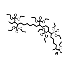 CCOP(C)(=O)C(C)CCCCC(C(CCCC(CCCCCCC(C(CC)P(=O)(OCC)OCC)P(=O)(OCC)OCC)P(=O)(OCC)OCC)P(=O)(OCC)OCC)P(=O)(OCC)OCC